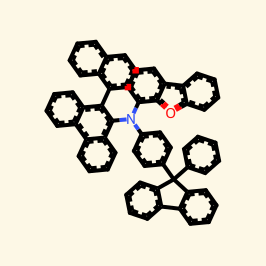 c1ccc(C2(c3ccc(N(c4c(-c5cccc6ccccc56)c5ccccc5c5ccccc45)c4cccc5c4oc4ccccc45)cc3)c3ccccc3-c3ccccc32)cc1